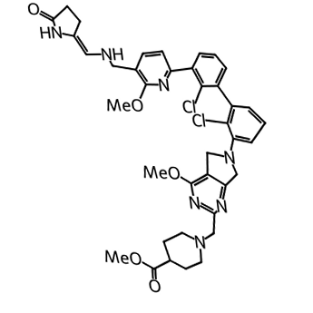 COC(=O)C1CCN(Cc2nc3c(c(OC)n2)CN(c2cccc(-c4cccc(-c5ccc(CN/C=C6\CCC(=O)N6)c(OC)n5)c4Cl)c2Cl)C3)CC1